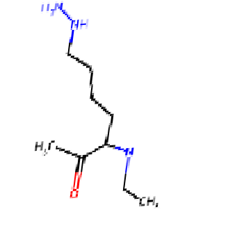 CCNC(CCCCNN)C(C)=O